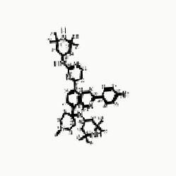 CN1CCC(c2ccc(-c3ccnc(NC4CC(C)(C)NC(C)(C)C4)n3)cc2)(N(c2nccc(-c3ccc(Br)cc3)n2)C2CC(C)(C)NC(C)(C)C2)CC1